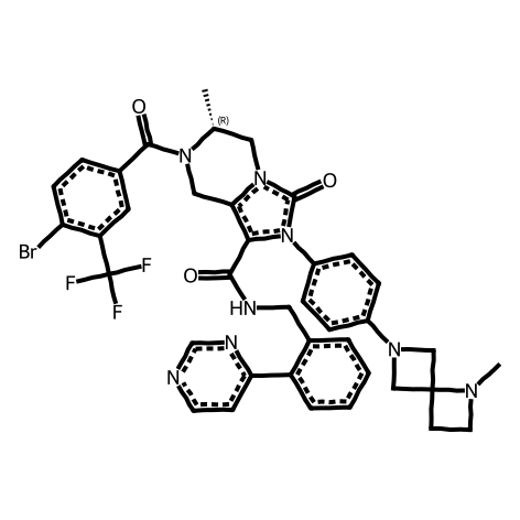 C[C@@H]1Cn2c(c(C(=O)NCc3ccccc3-c3ccncn3)n(-c3ccc(N4CC5(CCN5C)C4)cc3)c2=O)CN1C(=O)c1ccc(Br)c(C(F)(F)F)c1